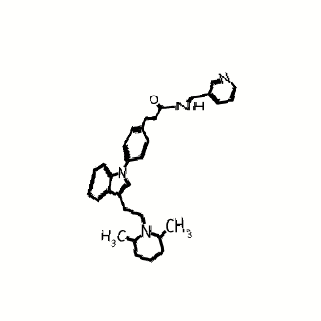 CC1CCCC(C)N1CCc1cn(-c2ccc(C=CC(=O)NCc3cccnc3)cc2)c2ccccc12